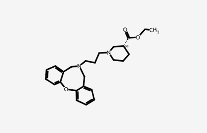 CCOC(=O)[C@@H]1CCCN(CCCN2Cc3ccccc3Oc3ccccc3C2)C1